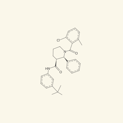 Cc1cccc(Cl)c1C(=O)N1CCC[C@H](C(=O)Nc2cccc(C(C)(C)C)c2)[C@@H]1c1ccccc1